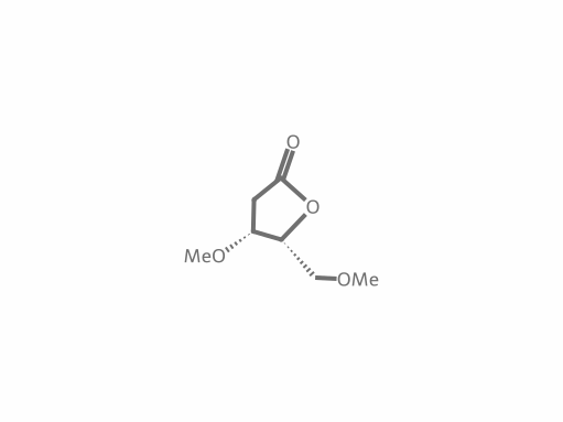 COC[C@H]1OC(=O)C[C@H]1OC